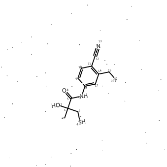 CC(O)(CS)C(=O)Nc1ccc(C#N)c(CF)c1